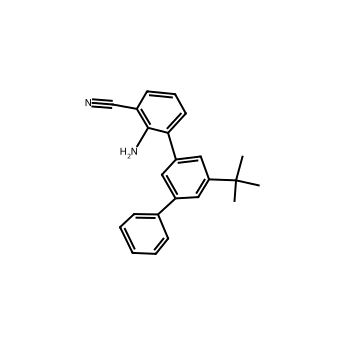 CC(C)(C)c1cc(-c2ccccc2)cc(-c2cccc(C#N)c2N)c1